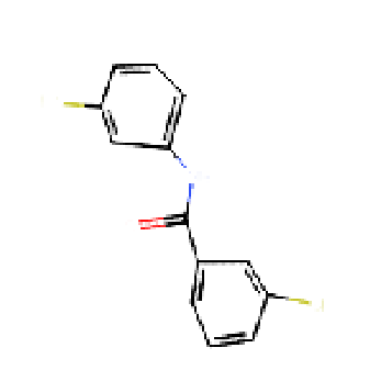 O=C(Nc1cccc(S)c1)c1cccc(S)c1